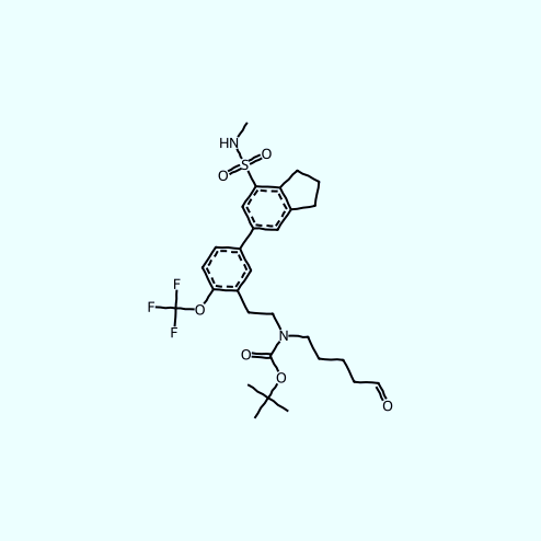 CNS(=O)(=O)c1cc(-c2ccc(OC(F)(F)F)c(CCN(CCCCC=O)C(=O)OC(C)(C)C)c2)cc2c1CCC2